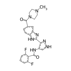 CN1CCN(C(=O)c2ccc3[nH]c(-c4n[nH]cc4NC(=O)c4c(F)cccc4F)nc3c2)CC1